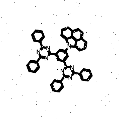 c1ccc(-c2nc(-c3ccccc3)nc(-c3cc(-c4nc(-c5ccccc5)nc(-c5ccccc5)n4)cc(-n4c5cccc6ccc7cccc4c7c65)c3)n2)cc1